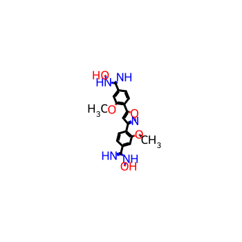 COc1cc(C(=N)NO)ccc1-c1cc(-c2ccc(C(=N)NO)cc2OC)on1